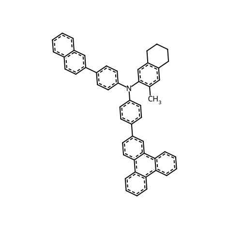 Cc1cc2c(cc1N(c1ccc(-c3ccc4ccccc4c3)cc1)c1ccc(-c3ccc4c5ccccc5c5ccccc5c4c3)cc1)CCCC2